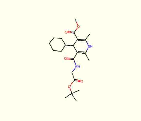 COC(=O)C1=C(C)NC(C)=C(C(=O)NCC(=O)OC(C)(C)C)C1C1CCCCC1